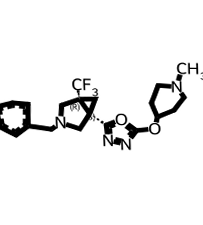 CN1CCC(Oc2nnc([C@]34CN(Cc5ccccc5)C[C@@]3(C(F)(F)F)C4)o2)CC1